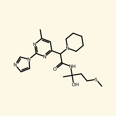 CSCCC(C)(O)NC(=O)C(c1cc(C)nc(-n2ccnc2)n1)N1CCCCC1